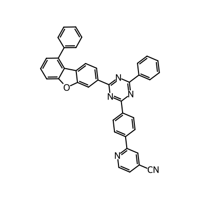 N#Cc1ccnc(-c2ccc(-c3nc(-c4ccccc4)nc(-c4ccc5c(c4)oc4cccc(-c6ccccc6)c45)n3)cc2)c1